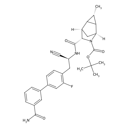 C[C@H]1C2C1[C@@H]1C[C@H]2[C@@H](C(=O)N[C@H](C#N)Cc2ccc(-c3cccc(C(N)=O)c3)cc2F)N1C(=O)OC(C)(C)C